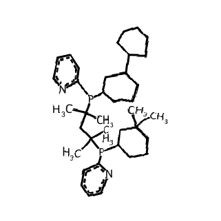 CC1(C)CCCC(P(c2ccccn2)C(C)(C)CC(C)(C)P(c2ccccn2)C2CCCC(C3CCCCC3)C2)C1